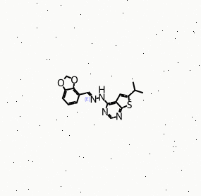 CC(C)c1cc2c(N/N=C/c3cccc4c3OCO4)ncnc2s1